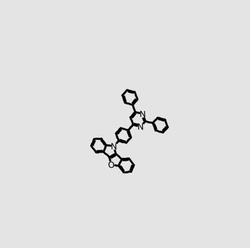 c1ccc(-c2cc(-c3ccc(-n4c5ccccc5c5oc6ccccc6c54)cc3)nc(-c3ccccc3)n2)cc1